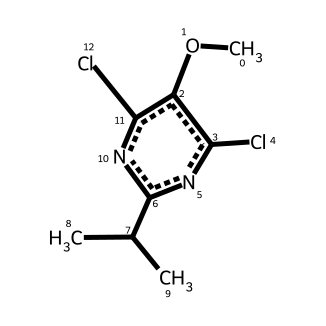 COc1c(Cl)nc(C(C)C)nc1Cl